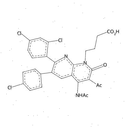 CC(=O)Nc1c(C(C)=O)c(=O)n(CCCC(=O)O)c2nc(-c3ccc(Cl)cc3Cl)c(-c3ccc(Cl)cc3)cc12